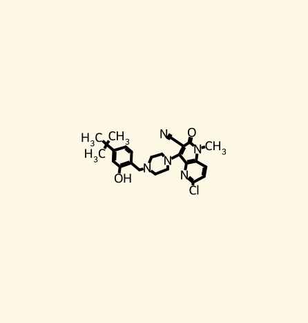 Cn1c(=O)c(C#N)c(N2CCN(Cc3ccc(C(C)(C)C)cc3O)CC2)c2nc(Cl)ccc21